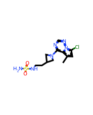 Cc1cc(Cl)n2ncnc(N3CC(CCNS(N)(=O)=O)C3)c12